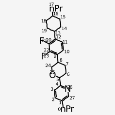 CCCc1ccc(C2CCC(c3ccc(C4CCC(CCC)CC4)c(F)c3F)CO2)nc1